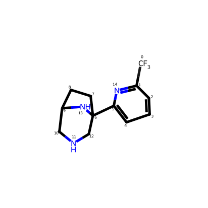 FC(F)(F)c1cccc(C23CCC(CNC2)N3)n1